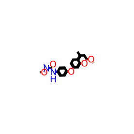 COC1CC(C)=C2CC=C(Oc3ccc(NC(=O)N(C)OC)cc3)C=C2O1